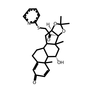 CC1(C)O[C@@H]2CC3C4CCC5=CC(=O)C=CC5(C)C4[C@@H](O)CC3(C)[C@]2(C(=O)CSc2ccccn2)O1